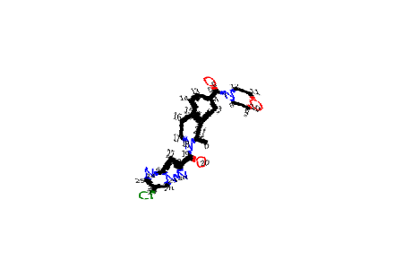 CC1c2cc(C(=O)N3CCOCC3)ccc2CCN1C(=O)c1cc2ncc(Cl)cn2n1